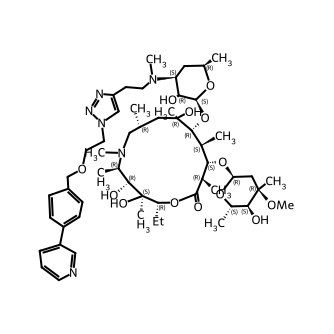 CC[C@H]1OC(=O)[C@H](C)[C@@H](O[C@H]2C[C@@](C)(OC)[C@@H](O)[C@H](C)O2)[C@H](C)[C@@H](O[C@@H]2O[C@H](C)C[C@H](N(C)CCc3cn(CCOCc4ccc(-c5cccnc5)cc4)nn3)[C@H]2O)[C@](C)(O)C[C@@H](C)CN(C)[C@H](C)[C@@H](O)[C@]1(C)O